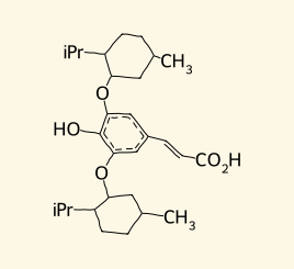 CC1CCC(C(C)C)C(Oc2cc(C=CC(=O)O)cc(OC3CC(C)CCC3C(C)C)c2O)C1